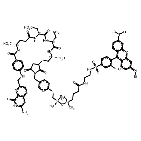 CC/N=c1\ccc2c(-c3ccc(S(=O)(=O)NCCNC(=O)CCC[Si](C)(C)O[Si](C)(C)CSc4ncc(CN5C(=O)CC(SC[C@H](NC(=O)[C@H](CN)NC(=O)[C@H](CC(=O)O)NC(=O)CC[C@H](NC(=O)c6ccc(NCc7cnc8nc(N)[nH]c(=O)c8n7)cc6)C(=O)O)C(=O)O)C5=O)cn4)cc3S(=O)(=O)O)c3ccc(N(CC)CC)cc3oc-2c1